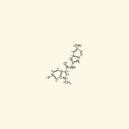 CC(=O)Oc1ccc2nc(NC(=O)c3cn(C)c4cc(F)ccc34)oc2c1